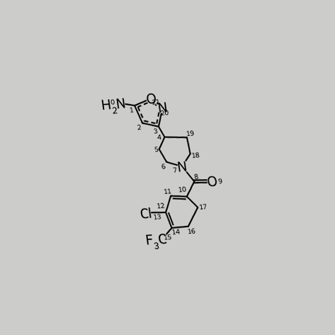 Nc1cc(C2CCN(C(=O)C3=CC(Cl)=C(C(F)(F)F)CC3)CC2)no1